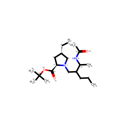 CCCC(CN1C[C@@H](CC)C[C@@H]1C(=O)OC(C)(C)C)C(C)NC(C)=O